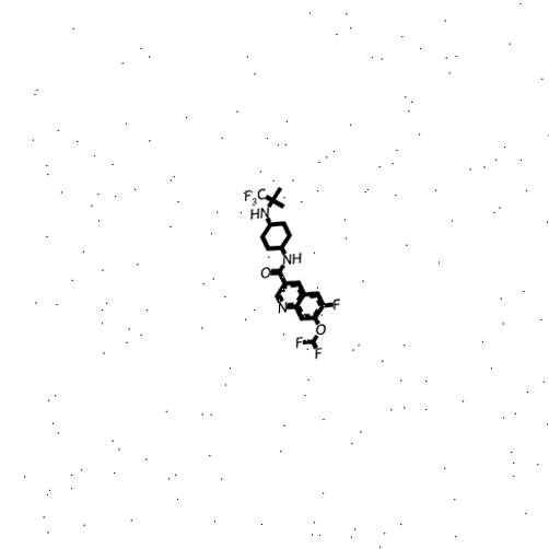 CC(C)(NC1CCC(NC(=O)c2cnc3cc(OC(F)F)c(F)cc3c2)CC1)C(F)(F)F